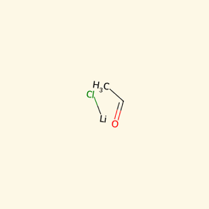 CC=O.[Li][Cl]